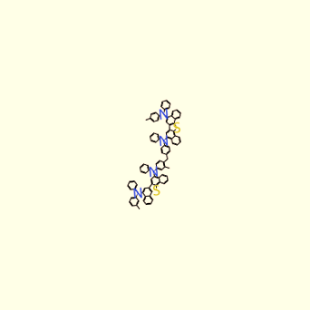 Cc1ccc(N(c2ccccc2)c2cc3c4cc(N(c5ccccc5)c5ccc(Cc6ccc(N(c7ccccc7)c7cc8c9cc(N(c%10ccccc%10)c%10cccc(C)c%10)c%10ccccc%10c9sc8c8ccccc78)cc6C)cc5)c5ccccc5c4sc3c3ccccc23)cc1